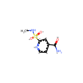 CNS(=O)(=O)c1cc(C(N)=O)ccn1